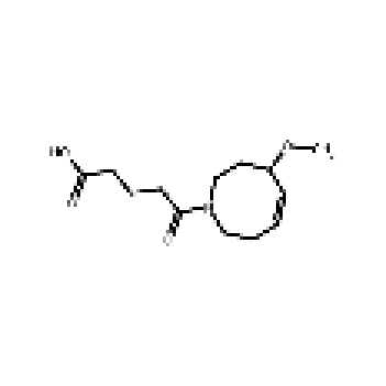 CO[C@H]1/C=C\CCN(C(=O)CCCC(=O)O)CC1